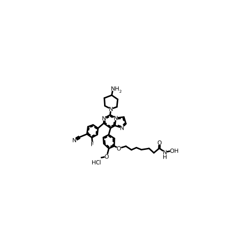 COc1ccc(-c2c(-c3ccc(C#N)c(F)c3)nc(N3CCC(N)CC3)n3ccnc23)cc1OCCCCCCC(=O)NO.Cl